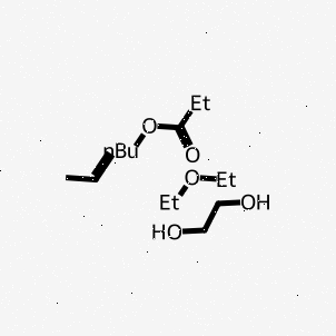 C=CC.CCCCOC(=O)CC.CCOCC.OCCO